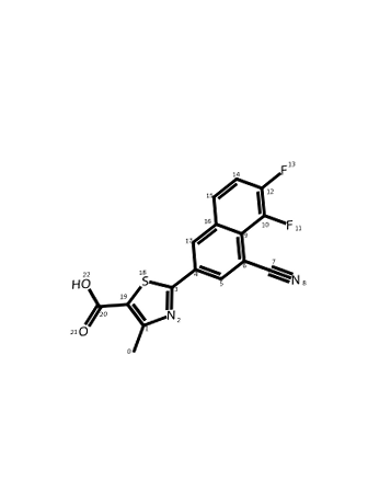 Cc1nc(-c2cc(C#N)c3c(F)c(F)ccc3c2)sc1C(=O)O